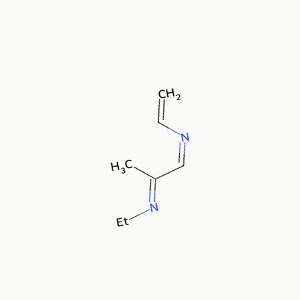 C=C/N=C\C(C)=N\CC